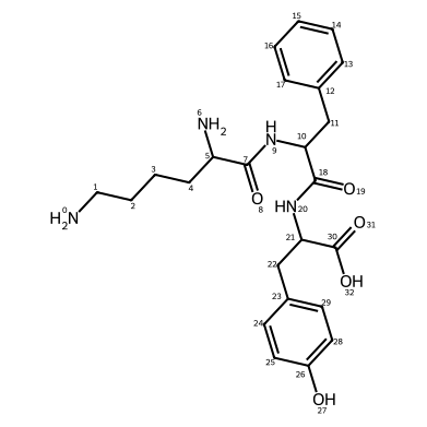 NCCCCC(N)C(=O)NC(Cc1ccccc1)C(=O)NC(Cc1ccc(O)cc1)C(=O)O